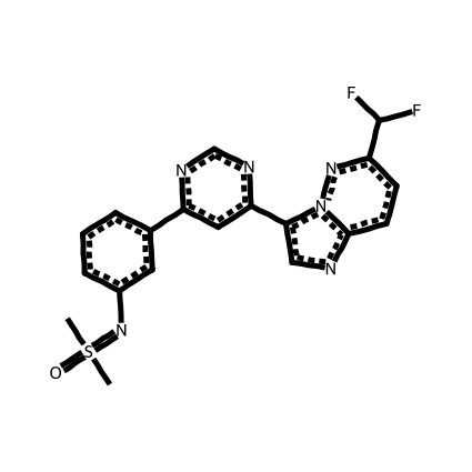 CS(C)(=O)=Nc1cccc(-c2cc(-c3cnc4ccc(C(F)F)nn34)ncn2)c1